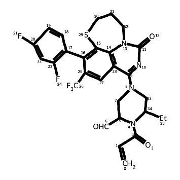 C=CC(=O)N1C(C=O)CN(c2nc(=O)n3c4c(c(-c5ccc(F)cc5F)c(C(F)(F)F)cc24)SCCC3)CC1CC